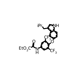 CCOC(=O)C(=O)Nc1cc(C(F)(F)F)c(Oc2ccc3[nH]cc(CC(C)C)c3c2)c(C(F)(F)F)c1